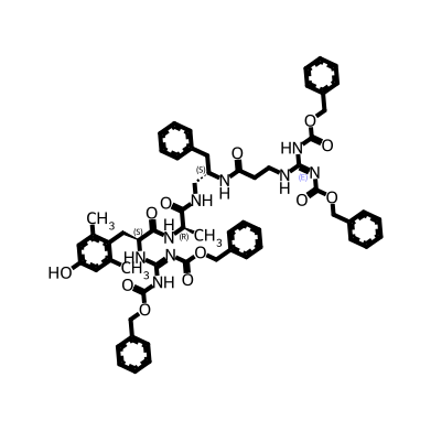 Cc1cc(O)cc(C)c1C[C@H](NC(=NC(=O)OCc1ccccc1)NC(=O)OCc1ccccc1)C(=O)N[C@H](C)C(=O)NC[C@H](Cc1ccccc1)NC(=O)CCN/C(=N\C(=O)OCc1ccccc1)NC(=O)OCc1ccccc1